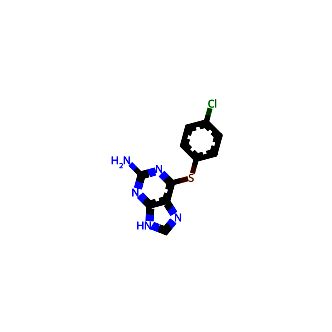 Nc1nc(Sc2ccc(Cl)cc2)c2nc[nH]c2n1